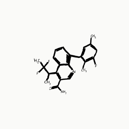 Cc1cc(F)c(C)c(-c2cccc3c(C(C)C(C)(F)F)c(C(N)=O)cnc23)c1